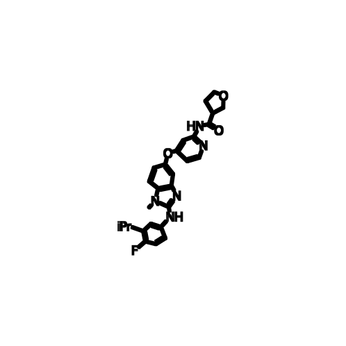 CC(C)c1cc(Nc2nc3cc(Oc4ccnc(NC(=O)C5CCOC5)c4)ccc3n2C)ccc1F